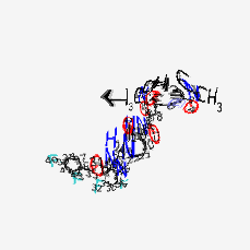 CN(C)C(=O)/C=C/CC[C@H](OC(=O)N(C)C)C(=O)Nc1cccn(Cc2nc3c(F)cc(F)c(OCc4ccc(F)cc4F)c3[nH]2)c1=O